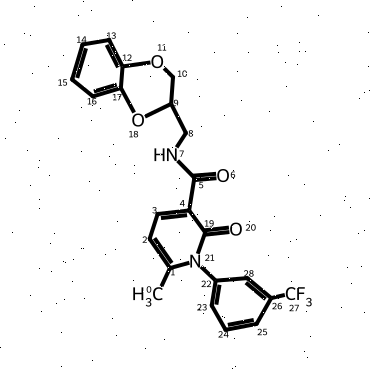 Cc1ccc(C(=O)NCC2COc3ccccc3O2)c(=O)n1-c1cccc(C(F)(F)F)c1